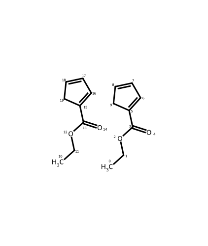 CCOC(=O)C1=CC=CC1.CCOC(=O)C1=CC=CC1